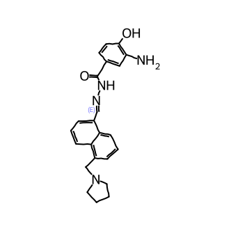 Nc1cc(C(=O)N/N=C/c2cccc3c(CN4CCCC4)cccc23)ccc1O